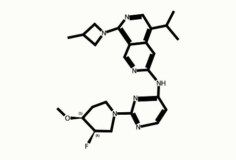 CO[C@H]1CCN(c2nccc(Nc3cc4c(C(C)C)cnc(N5CC(C)C5)c4cn3)n2)C[C@H]1F